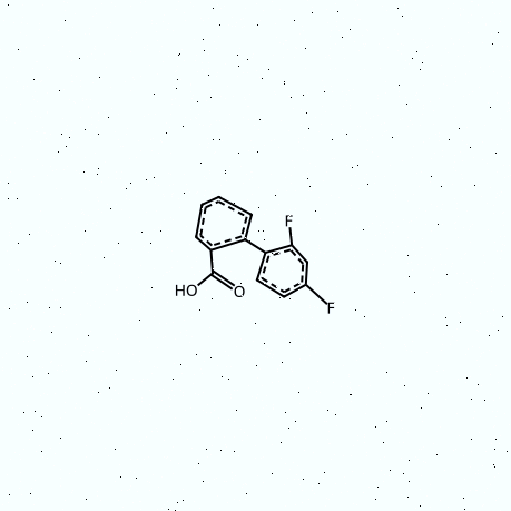 O=C(O)c1ccccc1-c1ccc(F)cc1F